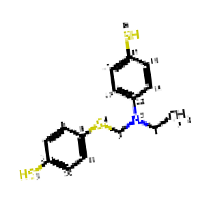 CCN(CSc1ccc(S)cc1)c1ccc(S)cc1